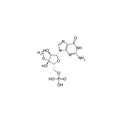 CO[C@@]1(O)[C@@H](COP(=O)(O)O)O[C@@H](n2cnc3c(=O)[nH]c(N)nc32)[C@@H]1O